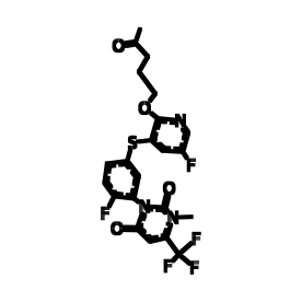 CC(=O)CCCOc1ncc(F)cc1Sc1ccc(F)c(-n2c(=O)cc(C(F)(F)F)n(C)c2=O)c1